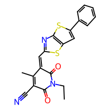 CCN1C(=O)C(C#N)=C(C)/C(=C/c2nc3sc(-c4ccccc4)cc3s2)C1=O